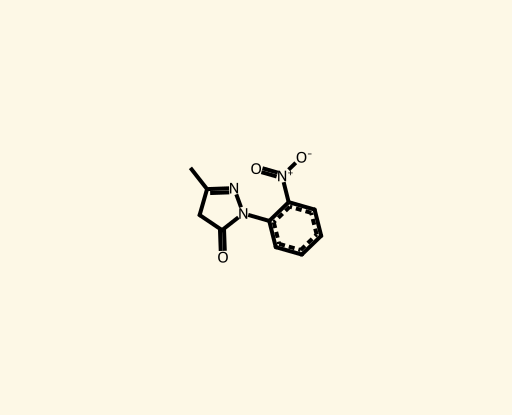 CC1=NN(c2ccccc2[N+](=O)[O-])C(=O)C1